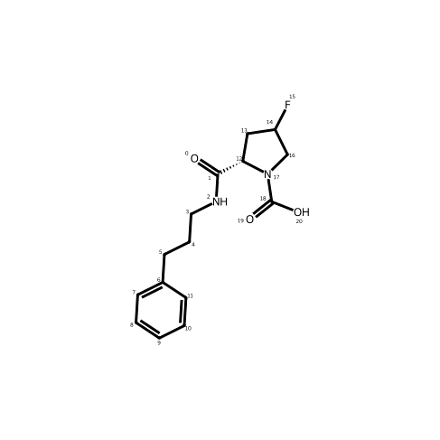 O=C(NCCCc1ccccc1)[C@@H]1CC(F)CN1C(=O)O